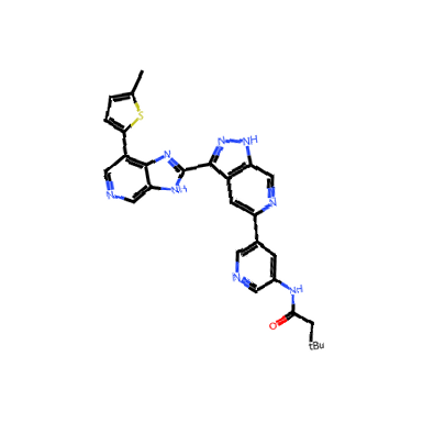 Cc1ccc(-c2cncc3[nH]c(-c4n[nH]c5cnc(-c6cncc(NC(=O)CC(C)(C)C)c6)cc45)nc23)s1